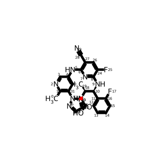 Cc1ncc(Nc2nc(N[C@@H](c3ccccc3F)[C@H](C)NC(=O)O)c(F)cc2C#N)cc1-n1nccn1